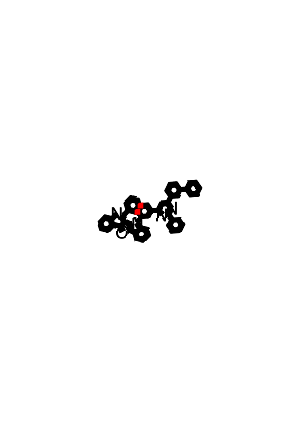 c1ccc(-c2cccc(-c3cc(-c4cccc(-n5c6ccccc6c6oc7c8ccccc8nc(-c8ccccc8)c7c65)c4)nc(-c4ccccc4)n3)c2)cc1